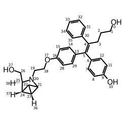 OCCC/C(=C(\c1ccc(O)cc1)c1ccc(OCCN2C3C4[C@H]3[C@@H]4[C@H]2CO)cc1)c1ccccc1